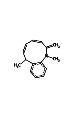 C=C1/C=C\C=C/C(C)c2ccccc2N1C